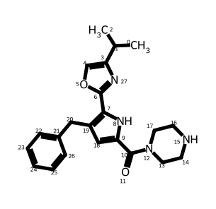 CC(C)c1coc(-c2[nH]c(C(=O)N3CCNCC3)cc2Cc2ccccc2)n1